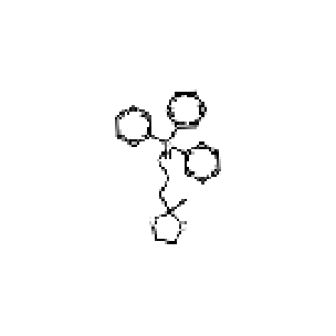 CC1(CCC[PH](c2ccccc2)(c2ccccc2)c2ccccc2)OCCO1